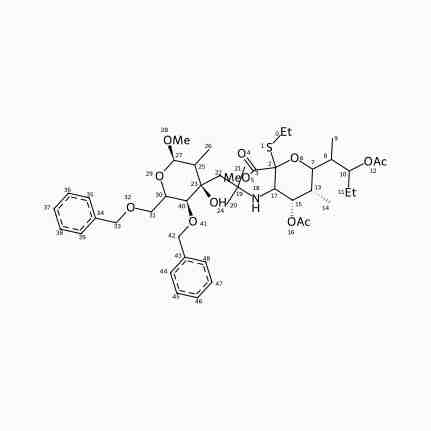 CCSC1(C(=O)OC)OC(C(C)C(CC)OC(C)=O)[C@H](C)[C@H](OC(C)=O)C1NC(C)(C)C[C@@]1(O)C(C)[C@H](OC)OC(COCc2ccccc2)[C@@H]1OCc1ccccc1